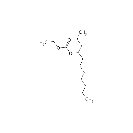 CCCCCCCC(CCC)OC(=O)OCC